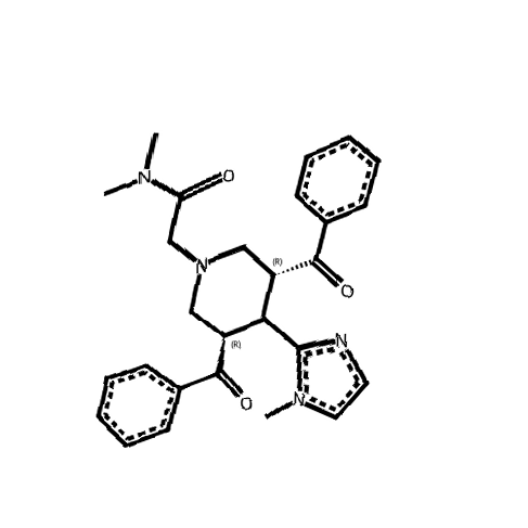 CN(C)C(=O)CN1C[C@H](C(=O)c2ccccc2)C(c2nccn2C)[C@@H](C(=O)c2ccccc2)C1